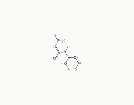 CC(Cl)/C=C(/Cl)C(C)C1OCCCO1